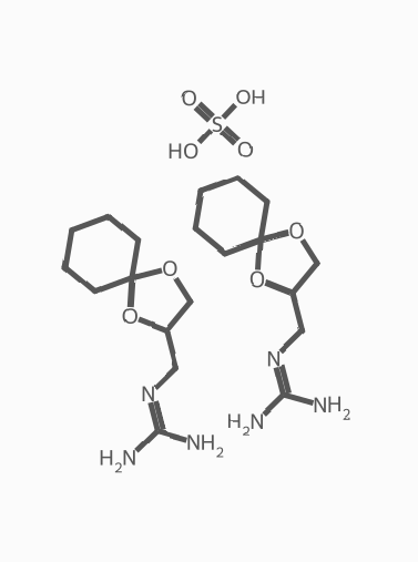 NC(N)=NCC1COC2(CCCCC2)O1.NC(N)=NCC1COC2(CCCCC2)O1.O=S(=O)(O)O